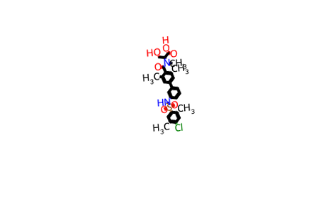 Cc1cc(S(=O)(=O)Nc2cccc(-c3cc(C)c(C(=O)N(C)C(CO)C(=O)O)c(C)c3)c2)c(C)cc1Cl